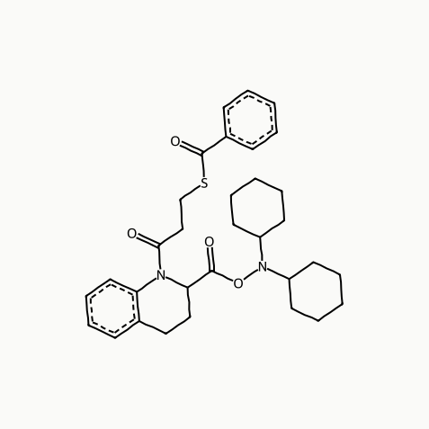 O=C(SCCC(=O)N1c2ccccc2CCC1C(=O)ON(C1CCCCC1)C1CCCCC1)c1ccccc1